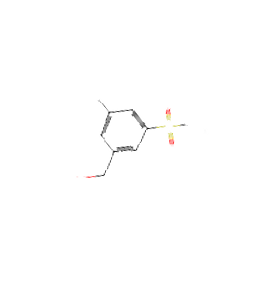 CS(=O)(=O)c1cc(CO)cc(C(=O)O)c1